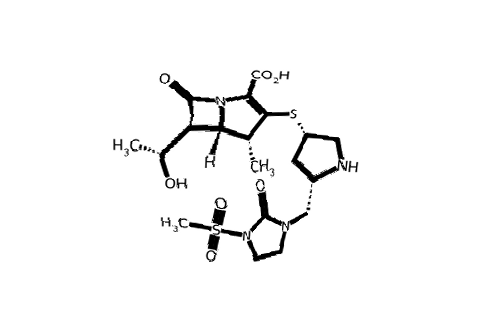 C[C@@H](O)[C@H]1C(=O)N2C(C(=O)O)=C(S[C@@H]3CN[C@H](CN4CCN(S(C)(=O)=O)C4=O)C3)[C@H](C)[C@H]12